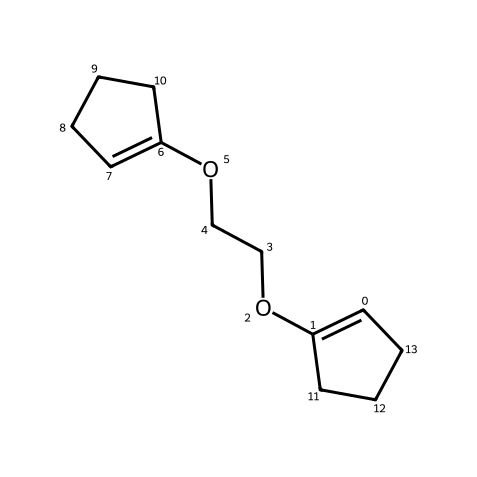 C1=C(OCCOC2=CCCC2)CCC1